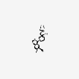 CSNCC1(O)CCCN(c2ncnc3cc(F)c(C#N)cc23)C1